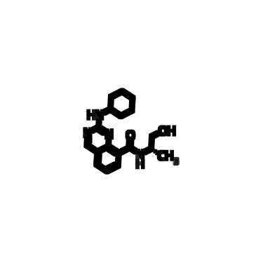 C[C@@H](CO)NC(=O)c1cccc2cnc(NC3CCCCC3)nc12